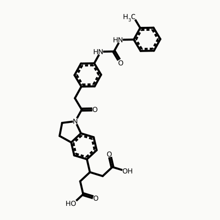 Cc1ccccc1NC(=O)Nc1ccc(CC(=O)N2CCc3cc(C(CC(=O)O)CC(=O)O)ccc32)cc1